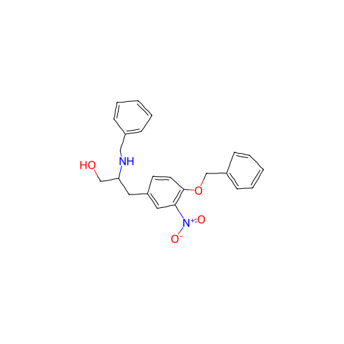 O=[N+]([O-])c1cc(CC(CO)NCc2ccccc2)ccc1OCc1ccccc1